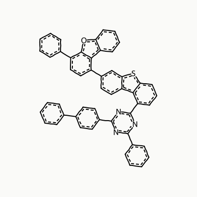 c1ccc(-c2ccc(-c3nc(-c4ccccc4)nc(-c4cccc5sc6cc(-c7ccc(-c8ccccc8)c8oc9ccccc9c78)ccc6c45)n3)cc2)cc1